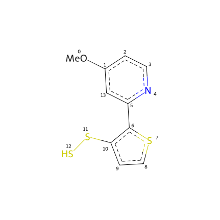 COc1ccnc(-c2sccc2SS)c1